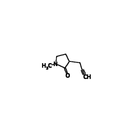 C#CCC1CCN(C)C1=O